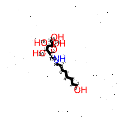 OCCCCCCCCNC[C@@H]1O[C@](O)(CO)[C@@H](O)[C@@H]1O